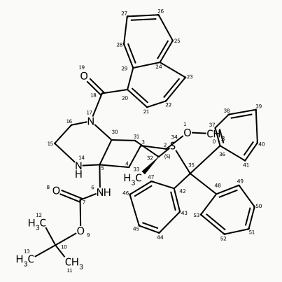 COCCCC1(NC(=O)OC(C)(C)C)NCCN(C(=O)c2cccc3ccccc23)C1C[C@H](C)SC(c1ccccc1)(c1ccccc1)c1ccccc1